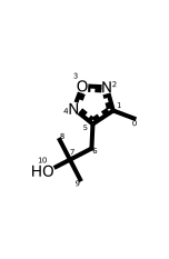 Cc1nonc1CC(C)(C)O